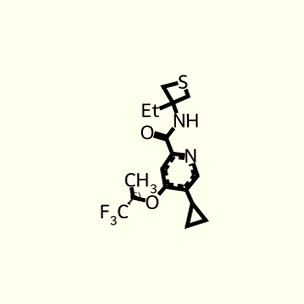 CCC1(NC(=O)c2cc(O[C@@H](C)C(F)(F)F)c(C3CC3)cn2)CSC1